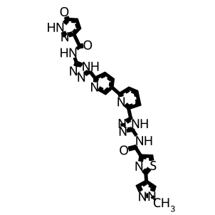 Cn1cc(-c2nc(C(=O)Nc3nnc(-c4cccc(-c5ccc(-c6nnc(NC(=O)c7ccc(=O)[nH]n7)[nH]6)nc5)n4)[nH]3)cs2)cn1